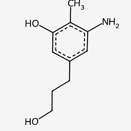 Cc1c(N)cc(CCCO)cc1O